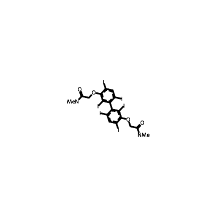 CNC(=O)COc1c(I)cc(I)c(-c2c(I)cc(I)c(OCC(=O)NC)c2I)c1I